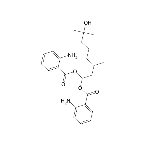 CC(CCCC(C)(C)O)CC(OC(=O)c1ccccc1N)OC(=O)c1ccccc1N